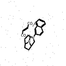 CN1C2CCC1CN(c1ccc3ccccc3c1)CC2.O=C(O)/C=C/C(=O)O